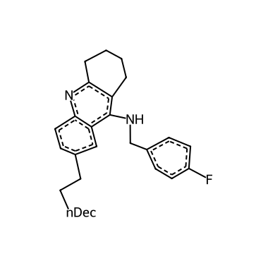 CCCCCCCCCCCCc1ccc2nc3c(c(NCc4ccc(F)cc4)c2c1)CCCC3